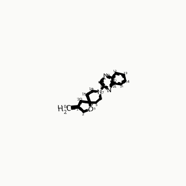 C=C1COC2(CCN(c3cnc4ccccc4n3)CC2)C1